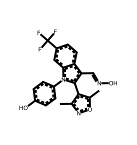 Cc1noc(C)c1-c1c(/C=N/O)c2ccc(C(F)(F)F)cc2n1-c1ccc(O)cc1